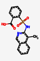 Cc1c(NS(=O)(=O)c2ccccc2C(=O)O)ncc2ccccc12